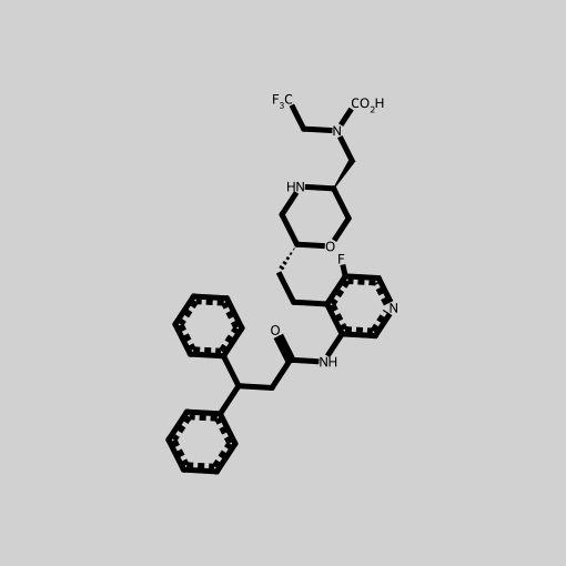 O=C(CC(c1ccccc1)c1ccccc1)Nc1cncc(F)c1CC[C@@H]1CN[C@@H](CN(CC(F)(F)F)C(=O)O)CO1